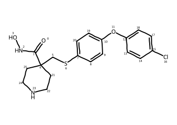 O=C(NO)C1(CSc2ccc(Oc3ccc(Cl)cc3)cc2)CCNCC1